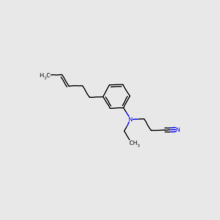 CC=CCCc1cccc(N(CC)CCC#N)c1